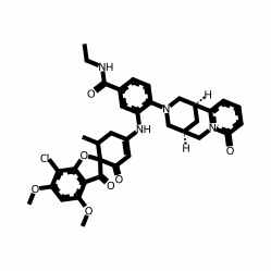 CCNC(=O)c1ccc(N2C[C@H]3C[C@@H](C2)c2cccc(=O)n2C3)c(NC2=CC(=O)C3(Oc4c(Cl)c(OC)cc(OC)c4C3=O)C(C)C2)c1